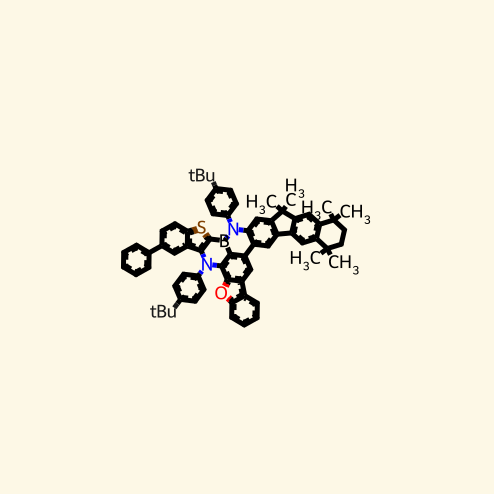 CC(C)(C)c1ccc(N2B3c4sc5ccc(-c6ccccc6)cc5c4N(c4ccc(C(C)(C)C)cc4)c4c3c(cc3c4oc4ccccc43)-c3cc4c(cc32)C(C)(C)c2cc3c(cc2-4)C(C)(C)CCC3(C)C)cc1